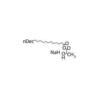 CCCCCCCCCCCCCCCCCCCCCC(=O)OC(=O)C(C)O.[NaH]